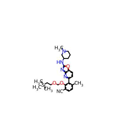 Cc1ccc(C#N)c(OCOCC[Si](C)(C)C)c1-c1ccc2oc(NC3CCCN(C)C3)nc2n1